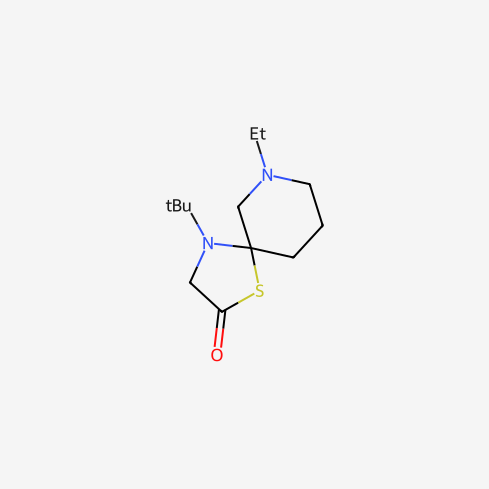 CCN1CCCC2(C1)SC(=O)CN2C(C)(C)C